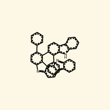 c1ccc(-c2ccc3c(c2-c2ccc4c([nH]c5ccccc54)c2-c2ccccc2)-c2c4c(ccc2=N3)=c2ccccc2=N4)cc1